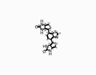 O=c1[nH]c2csc(-c3ccc(-c4scc5[nH]c(=O)[nH]c45)c4scnc34)c2[nH]1